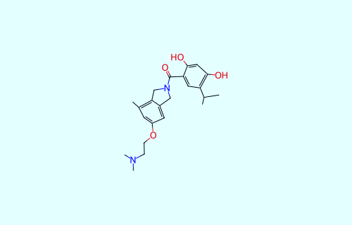 Cc1cc(OCCN(C)C)cc2c1CN(C(=O)c1cc(C(C)C)c(O)cc1O)C2